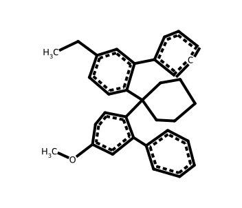 CCc1ccc(C2(c3ccc(OC)cc3-c3ccccc3)CCCCC2)c(-c2ccccc2)c1